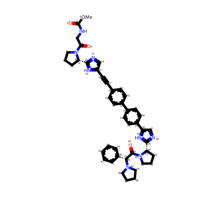 COC(=O)NCC(=O)N1CCC[C@H]1c1ncc(C#Cc2ccc(-c3ccc(-c4cnc([C@@H]5CCCN5C(=O)[C@@H](c5ccccc5)N5CCCC5)[nH]4)cc3)cc2)[nH]1